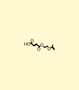 C=C(C)OCCOC(=O)C=CC(=O)O